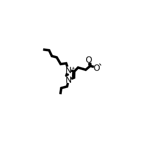 CCCCCC[n+]1cn(CCC)cc1CCC(=O)OC